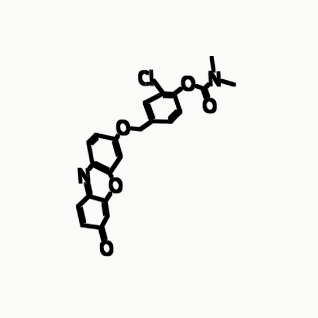 CN(C)C(=O)Oc1ccc(COc2ccc3nc4ccc(=O)cc-4oc3c2)cc1Cl